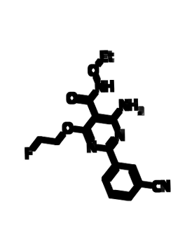 CCONC(=O)c1c(N)nc(-c2cccc(C#N)c2)nc1OCCF